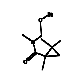 CCOCN(C)C(=O)C1(C)CC1(C)C